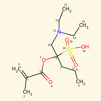 C=C(C)C(=O)OC(CCC)(CN(CC)CC)S(=O)(=O)O